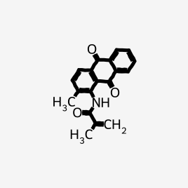 C=C(C)C(=O)Nc1c(C)ccc2c1C(=O)c1ccccc1C2=O